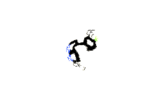 Fc1ccc(-c2ccnc3nc(C(F)(F)F)ccc23)cc1C(F)(F)F